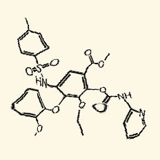 CCOc1c(Oc2ccccc2OC)c(NS(=O)(=O)c2ccc(C)cc2)cc(C(=O)OC)c1OC(=O)Nc1ccccn1